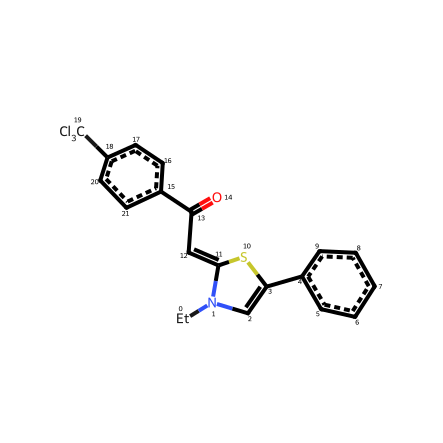 CCN1C=C(c2ccccc2)SC1=CC(=O)c1ccc(C(Cl)(Cl)Cl)cc1